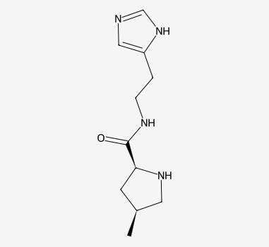 C[C@@H]1CN[C@H](C(=O)NCCc2cnc[nH]2)C1